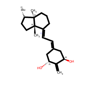 C=C1[C@H](O)CC(=C/C=C2\CCC[C@]3(C)C([C@@H](C)CC)CC[C@@]23C)C[C@H]1O